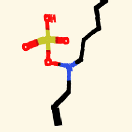 C=CCN(CCCCC)OS(=O)(=O)O